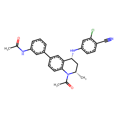 CC(=O)Nc1cccc(-c2ccc3c(c2)[C@H](Nc2ccc(C#N)c(Cl)c2)C[C@H](C)N3C(C)=O)c1